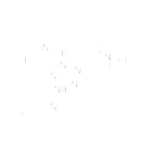 C=CNC(=O)[C@@H]1C[C@@H](O)[C@H](n2cnc3c(NCc4cc(Cl)ccn4)nc(-c4cncc(F)c4)nc32)O1